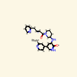 CNc1cc(-c2c[nH]c(=O)c(NC3CCCN(C(=O)/C=C/Cc4ccccn4)C3)c2)ccn1